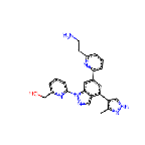 Cc1n[nH]cc1-c1cc(-c2cccc(CCN)n2)cc2c1cnn2-c1cccc(CO)n1